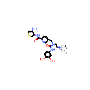 CN(C)CCN(Cc1ccc(C(=O)NC2CSC=C2N)nc1)C(=O)Nc1ccc(O)c(O)c1